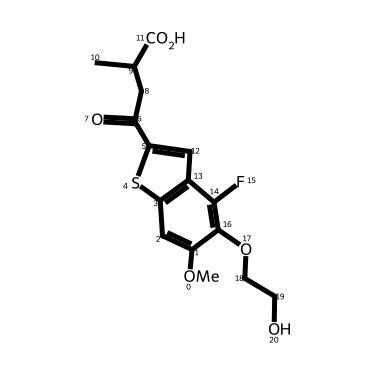 COc1cc2sc(C(=O)CC(C)C(=O)O)cc2c(F)c1OCCO